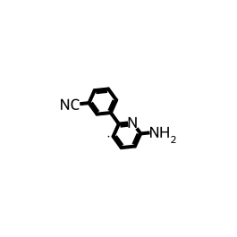 N#Cc1cccc(-c2[c]ccc(N)n2)c1